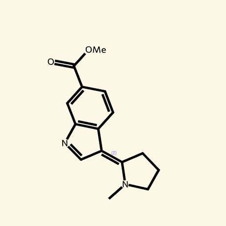 COC(=O)c1ccc2c(c1)N=C/C2=C1/CCCN1C